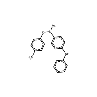 CC(=O)N(Oc1ccc(N)cc1)c1ccc(Nc2ccccc2)cc1